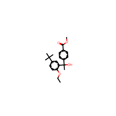 CCOc1ccc(C(C)(C)C)cc1C(C)(O)c1ccc(C(=O)OC)cc1